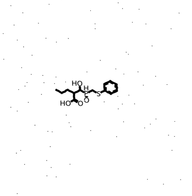 CCCC(C(=O)O)C(O)[PH](=O)CSc1ccccc1